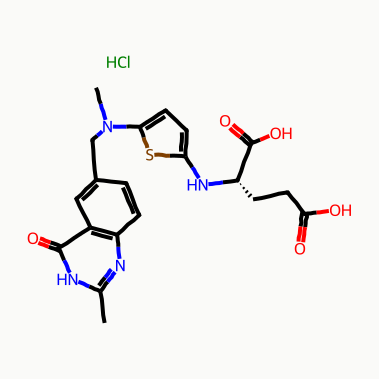 Cc1nc2ccc(CN(C)c3ccc(N[C@@H](CCC(=O)O)C(=O)O)s3)cc2c(=O)[nH]1.Cl